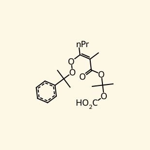 CCCC(OOC(C)(C)c1ccccc1)=C(C)C(=O)OC(C)(C)OC(=O)O